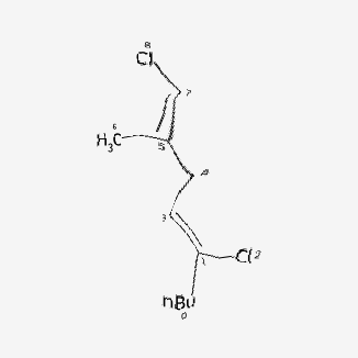 CCCC/C(Cl)=C/C/C(C)=C/Cl